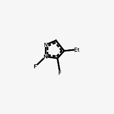 CCc1[c]nn(F)c1F